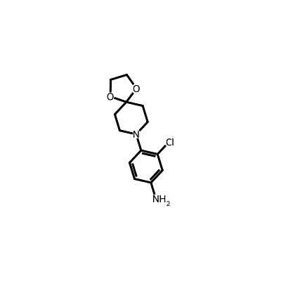 Nc1ccc(N2CCC3(CC2)OCCO3)c(Cl)c1